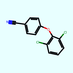 N#Cc1ccc(Oc2c(Cl)c[c]cc2Cl)cc1